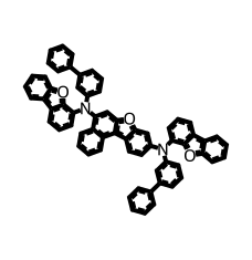 c1ccc(-c2cccc(N(c3ccc4c(c3)oc3cc(N(c5cccc(-c6ccccc6)c5)c5cccc6c5oc5ccccc56)c5ccccc5c34)c3cccc4c3oc3ccccc34)c2)cc1